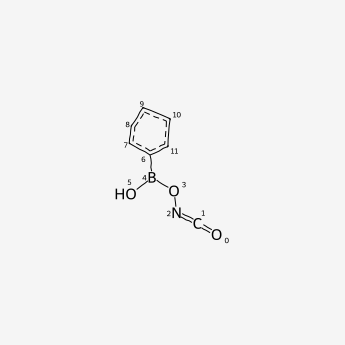 O=C=NOB(O)c1ccccc1